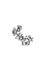 CCOc1ccsc1C(C)(C)c1ccc(C(C)(C)c2sccc2OCC)s1